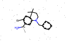 CCc1cc2c(cc1[C@H](C)N)N(Cc1ccccc1)CCC2(C)C